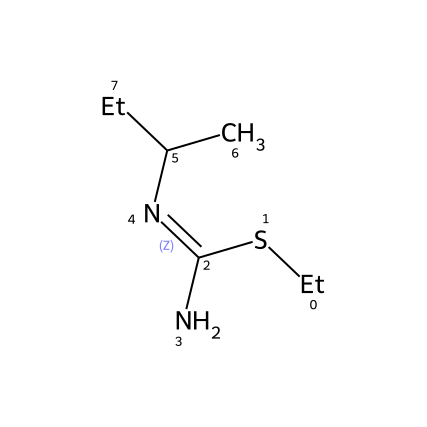 CCS/C(N)=N\C(C)CC